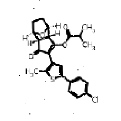 Cc1sc(-c2ccc(Cl)cc2)cc1C1=C(OC(=O)C(C)C)[C@@H]2[C@H](C1=O)[C@H]1CC[C@@H]2O1